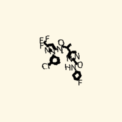 CC(C(=O)N(C)c1cc(C(F)(F)F)nn1-c1cccc(Cl)c1)c1cnc(C(=O)Nc2ccc(F)cc2)nc1